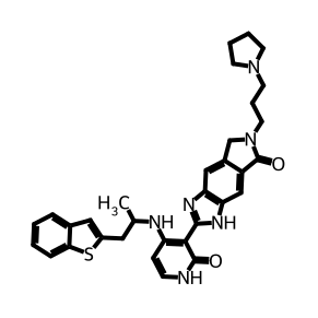 CC(Cc1cc2ccccc2s1)Nc1cc[nH]c(=O)c1-c1nc2cc3c(cc2[nH]1)C(=O)N(CCCN1CCCC1)C3